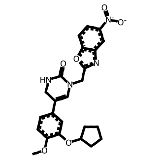 COc1ccc(C2=CN(Cc3nc4cc([N+](=O)[O-])ccc4o3)C(=O)NC2)cc1OC1CCCC1